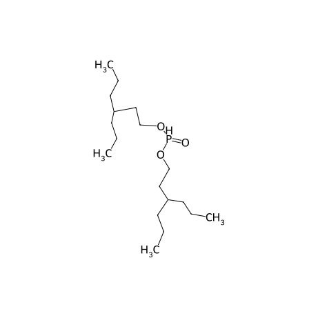 CCCC(CCC)CCO[PH](=O)OCCC(CCC)CCC